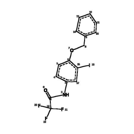 O=C(Nc1ccc(OCc2ccccc2)c(I)c1)C(F)(F)F